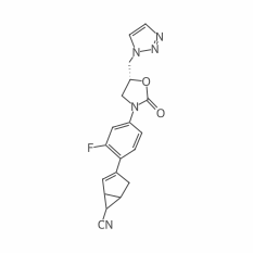 N#CC1C2C=C(c3ccc(N4C[C@H](Cn5ccnn5)OC4=O)cc3F)CC12